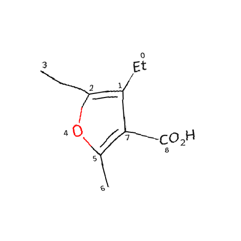 CCc1c(C)oc(C)c1C(=O)O